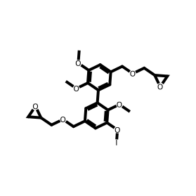 COc1cc(COCC2CO2)cc(-c2cc(COCC3CO3)cc(OI)c2OC)c1OC